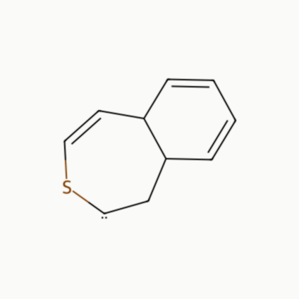 [C]1CC2C=CC=CC2C=CS1